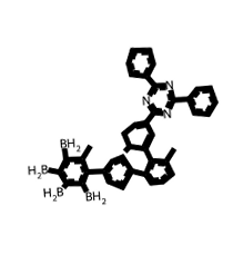 Bc1c(B)c(B)c(-c2ccc(-c3cccc(C)c3C3=CC(c4nc(-c5ccccc5)nc(-c5ccccc5)n4)=CCC3C)cc2)c(C)c1B